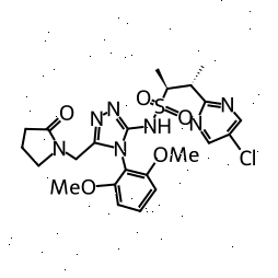 COc1cccc(OC)c1-n1c(CN2CCCC2=O)nnc1NS(=O)(=O)[C@@H](C)[C@H](C)c1ncc(Cl)cn1